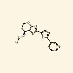 CC(C)O/N=C1\CCOc2oc(-c3cnc(-c4cccnc4)s3)nc21